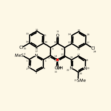 CSc1nccc(C(=NO)C(C(=O)C(C(=NO)c2ccnc(SC)n2)c2cccc(Cl)c2)c2cccc(Cl)c2)n1